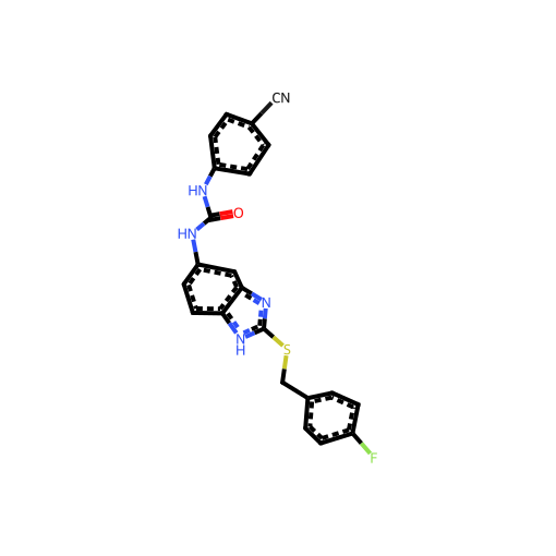 N#Cc1ccc(NC(=O)Nc2ccc3[nH]c(SCc4ccc(F)cc4)nc3c2)cc1